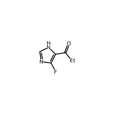 CCC(=O)c1[nH]cnc1F